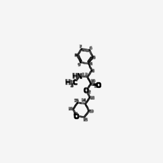 CNC(Cc1ccccc1)C(=O)OCC1CCOCC1